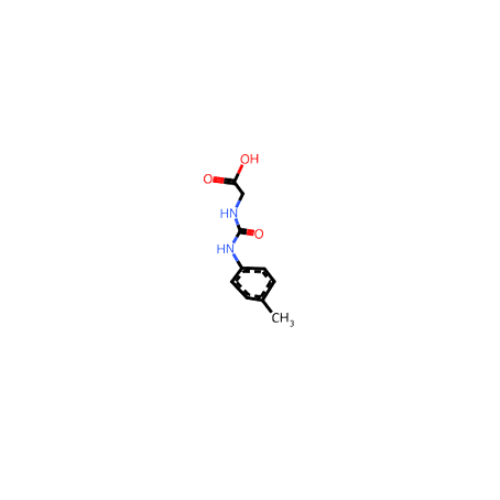 Cc1ccc(NC(=O)NCC(=O)O)cc1